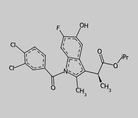 Cc1c([C@H](C)C(=O)OC(C)C)c2cc(O)c(F)cc2n1C(=O)c1ccc(Cl)c(Cl)c1